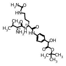 CC(C)[C@H](N)C(=O)N[C@@H](CCCNC(N)=O)C(=O)Nc1ccc(C(O)C(=O)OC(C)(C)C)cc1